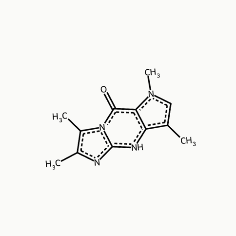 Cc1nc2[nH]c3c(C)cn(C)c3c(=O)n2c1C